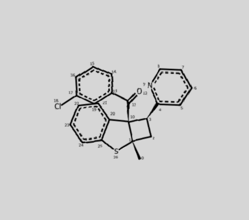 C[C@]12C[C@H](c3ccccn3)[C@@]1(C(=O)c1cccc(Cl)c1)c1ccccc1S2